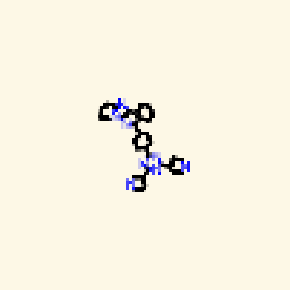 c1cncc(-c2nc(-c3ccncc3)nc(-c3ccc(-c4nc5c(nc6ccccn65)c5ccccc45)cc3)n2)c1